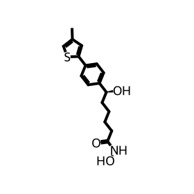 Cc1csc(-c2ccc([C@@H](O)CCCCC(=O)NO)cc2)c1